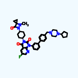 CN1N([C@H]2CC[C@@H](n3c(=O)c4cc(F)cnc4n(-c4cccc(-c5ccc(CN6CCN(C7CCCC7)CC6)cc5)c4)c3=O)CC2)C(=O)C12CC2